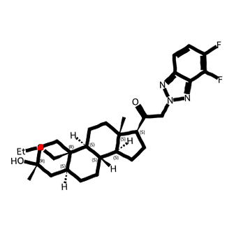 CCOC[C@]12CC[C@@](C)(O)C[C@@H]1CC[C@H]1[C@@H]3CC[C@H](C(=O)Cn4nc5ccc(F)c(F)c5n4)[C@@]3(C)CC[C@@H]12